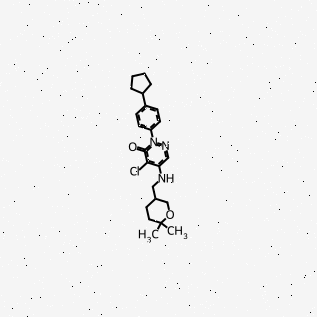 CC1(C)CCC(CNc2cnn(-c3ccc(C4CCCC4)cc3)c(=O)c2Cl)CO1